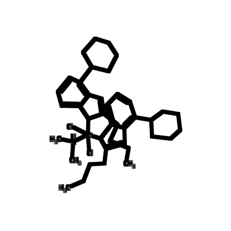 CCCCC1=Cc2c(C3CCCCC3)cccc2[CH]1[Zr]([Cl])([Cl])([CH]1C(CCCC)=Cc2c(C3CCCCC3)cccc21)[SiH](C)C